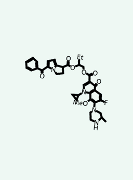 [CH2]CC(COC(=O)c1cn(C2CC2)c2c(OC)c(N3CCNC(C)C3)c(F)cc2c1=O)OC(=O)C1CCn2c(C(=O)c3ccccc3)ccc21